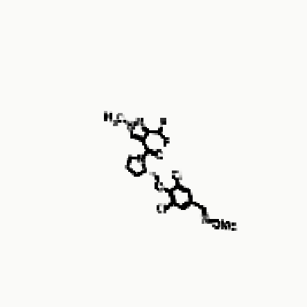 CO/N=C/c1cc(Cl)c(OC[C@@H]2CCCN2C(=O)c2cn(C)nc2C(F)F)c(Cl)c1